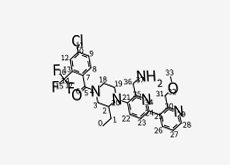 CCC1CN(C(=O)c2ccc(Cl)cc2C(F)(F)F)CCN1c1ccc(-c2cccnc2COC)nc1CN